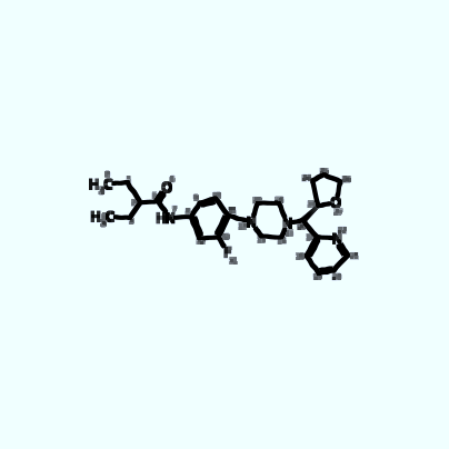 CCC(CC)C(=O)Nc1ccc(N2CCN(C(c3ccccn3)[C@H]3CCCO3)CC2)c(F)c1